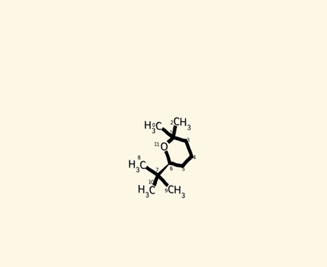 CC1(C)CCC[C@@H](C(C)(C)C)O1